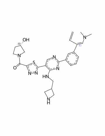 C=C/C(=C\N(C)C)c1cccc(-c2ncc(-c3nnc(C(=O)N4CC[C@H](O)C4)s3)c(NCC3CNC3)n2)c1